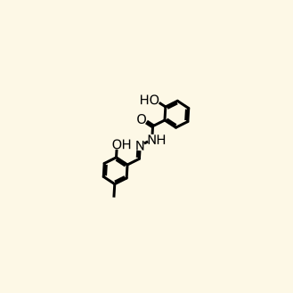 Cc1ccc(O)c(/C=N/NC(=O)c2ccccc2O)c1